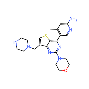 Cc1cc(N)ncc1-c1nc(N2CCOCC2)nc2c(CN3CCNCC3)csc12